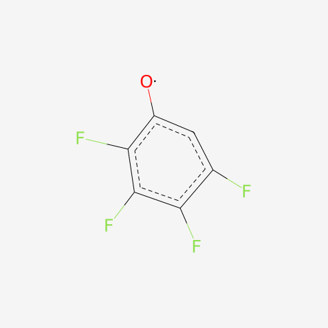 [O]c1cc(F)c(F)c(F)c1F